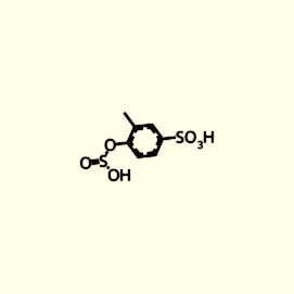 Cc1cc(S(=O)(=O)O)ccc1OS(=O)O